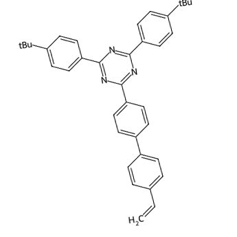 C=Cc1ccc(-c2ccc(-c3nc(-c4ccc(C(C)(C)C)cc4)nc(-c4ccc(C(C)(C)C)cc4)n3)cc2)cc1